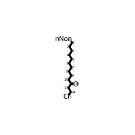 CCCCCCCCCCCCCCCCCCCC(=O)CCCl